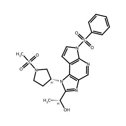 C[C@@H](O)c1nc2cnc3c(ccn3S(=O)(=O)c3ccccc3)c2n1[C@@H]1CCN(S(C)(=O)=O)C1